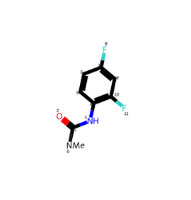 CNC(=O)Nc1ccc(F)cc1F